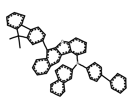 CC1(C)c2ccccc2-c2ccc(-c3c4ccccc4cc4c3oc3cccc(N(c5ccc(-c6ccccc6)cc5)c5ccc6ccccc6c5)c34)cc21